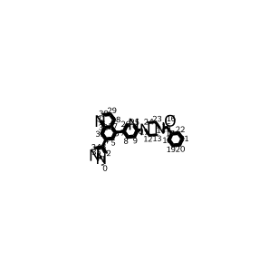 Cn1cc(-c2cc(-c3ccc(N4CCN(C(=O)c5ccccc5)CC4)nc3)c3cccnc3c2)cn1